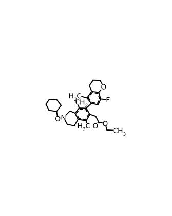 CCOC(=O)Cc1c(C)c2c(c(C)c1-c1cc(F)c3c(c1C)CCCO3)CN(OC1CCCCC1)CC2